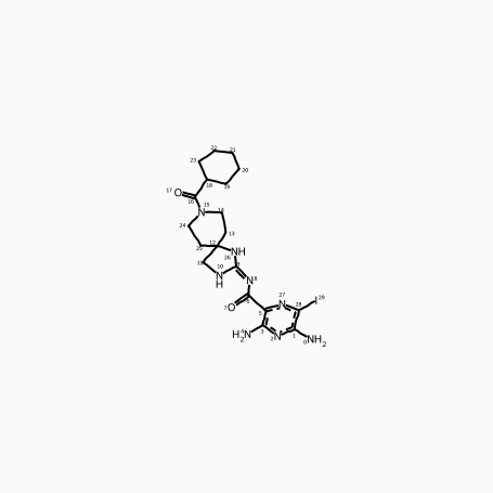 Nc1nc(N)c(C(=O)/N=C2\NCC3(CCN(C(=O)C4CCCCC4)CC3)N2)nc1I